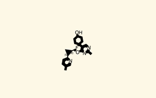 Cc1ccc([C@H]2C[C@H]2COc2nc(C)ncc2C2(F)CCC(O)CC2)nc1